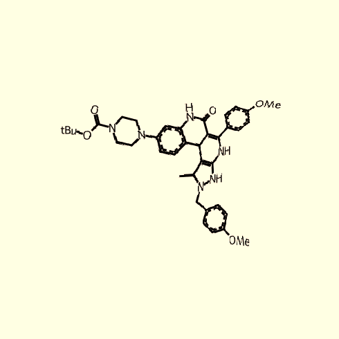 COc1ccc(CN2NC3=C(C4C(=C(c5ccc(OC)cc5)N3)C(=O)Nc3cc(N5CCN(C(=O)OC(C)(C)C)CC5)ccc34)C2C)cc1